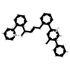 Cc1cc(-c2ccccc2C/C=C/C(C)c2ccccc2-c2ccccn2)ncc1-c1ccccc1